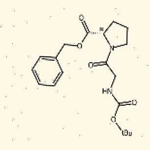 CC(C)(C)OC(=O)NCC(=O)N1CCC[C@H]1C(=O)OCc1ccccc1